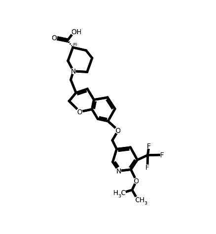 CC(C)Oc1ncc(COc2ccc3c(c2)OCC(CN2CCC[C@@H](C(=O)O)C2)=C3)cc1C(F)(F)F